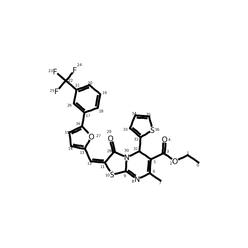 CCOC(=O)C1=C(C)N=c2s/c(=C/c3ccc(-c4cccc(C(F)(F)F)c4)o3)c(=O)n2C1c1cccs1